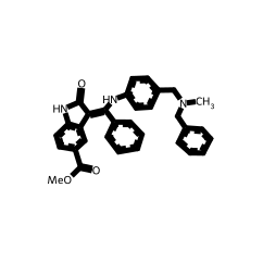 COC(=O)c1ccc2c(c1)/C(=C(/Nc1ccc(CN(C)Cc3ccccc3)cc1)c1ccccc1)C(=O)N2